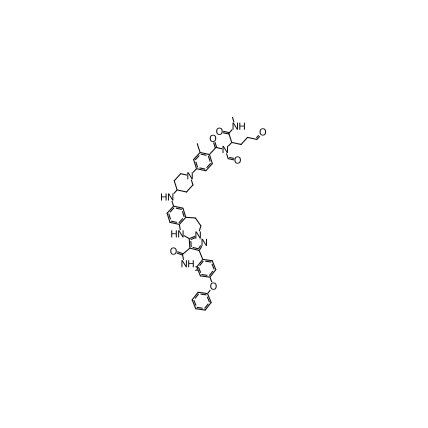 CNC(=O)C(CCC=O)N(C=O)C(=O)c1ccc(N2CCC(Nc3ccc4c(c3)CCn3nc(-c5ccc(Oc6ccccc6)cc5)c(C(N)=O)c3N4)CC2)cc1C